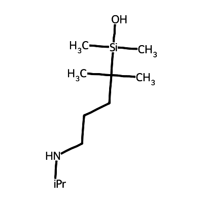 CC(C)NCCCC(C)(C)[Si](C)(C)O